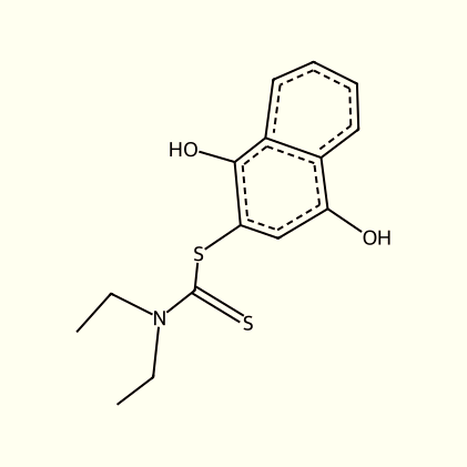 CCN(CC)C(=S)Sc1cc(O)c2ccccc2c1O